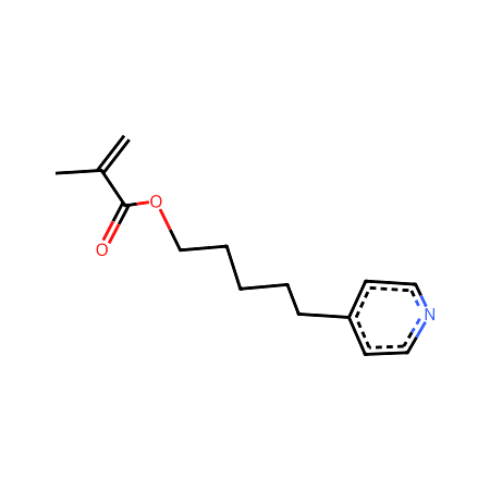 C=C(C)C(=O)OCCCCCc1ccncc1